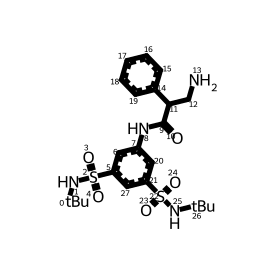 CC(C)(C)NS(=O)(=O)c1cc(NC(=O)C(CN)c2ccccc2)cc(S(=O)(=O)NC(C)(C)C)c1